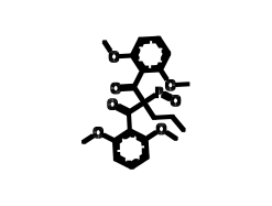 CCCC(P=O)(C(=O)c1c(OC)cccc1OC)C(=O)c1c(OC)cccc1OC